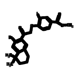 COC(=O)c1ccc(OCC(=O)c2cc3c(cc2Br)C(C)(C)CCC3)c(I)c1